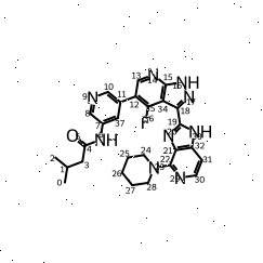 CC(C)CC(=O)Nc1cncc(-c2cnc3[nH]nc(-c4nc5c(N6CCCCC6)nccc5[nH]4)c3c2F)c1